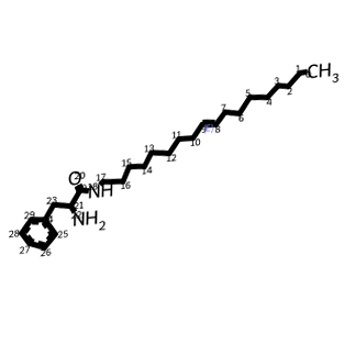 CCCCCCCC/C=C/CCCCCCCCNC(=O)C(N)Cc1ccccc1